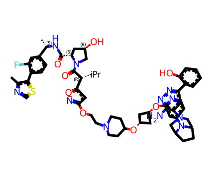 Cc1ncsc1-c1ccc([C@H](C)NC(=O)[C@@H]2C[C@@H](O)CN2C(=O)[C@@H](c2cc(OCCN3CCC(O[C@H]4C[C@H](Oc5cc(N6C7CCC6CN(c6cc(-c8ccccc8O)nnc6N)C7)ccn5)C4)CC3)no2)C(C)C)cc1F